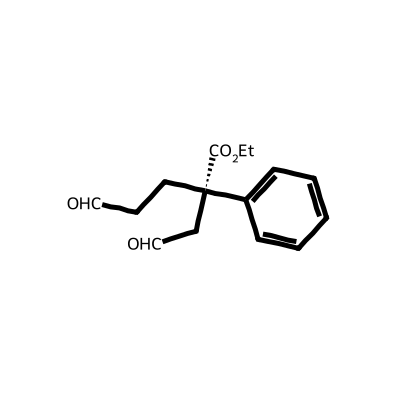 CCOC(=O)[C@](CC=O)(CCC=O)c1ccccc1